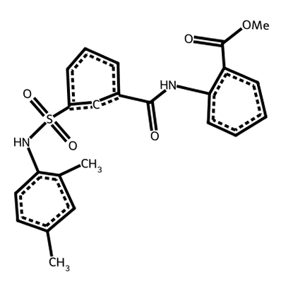 COC(=O)c1ccccc1NC(=O)c1cccc(S(=O)(=O)Nc2ccc(C)cc2C)c1